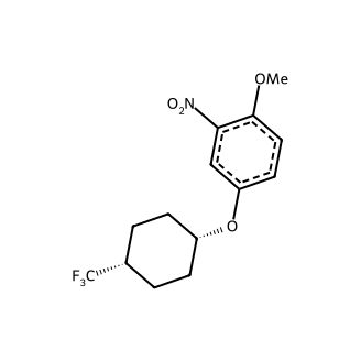 COc1ccc(O[C@H]2CC[C@@H](C(F)(F)F)CC2)cc1[N+](=O)[O-]